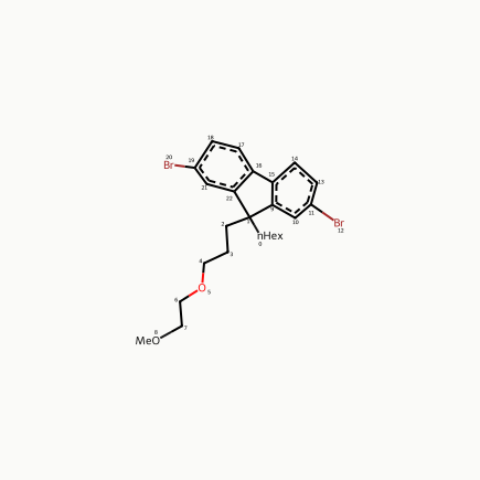 CCCCCCC1(CCCOCCOC)c2cc(Br)ccc2-c2ccc(Br)cc21